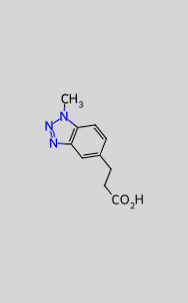 Cn1nnc2cc(CCC(=O)O)ccc21